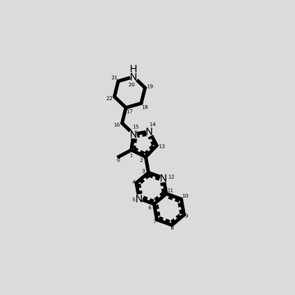 Cc1c(-c2cnc3ccccc3n2)cnn1CC1CCNCC1